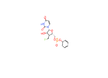 O=c1ccn([C@@H]2O[C@H](CO[PH](=O)Oc3ccccc3)[C@@H](CF)[C@H]2O)c(=O)[nH]1